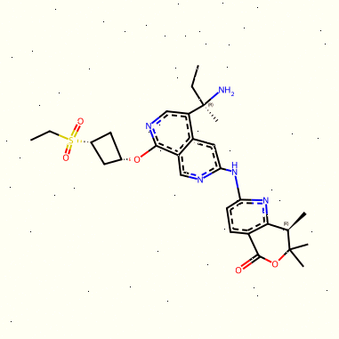 CC[C@@](C)(N)c1cnc(O[C@H]2C[C@@H](S(=O)(=O)CC)C2)c2cnc(Nc3ccc4c(n3)[C@@H](C)C(C)(C)OC4=O)cc12